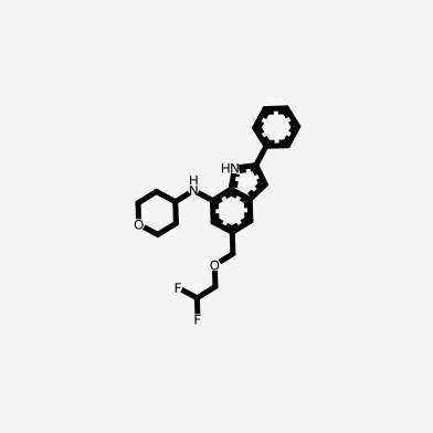 FC(F)COCc1cc(NC2CCOCC2)c2[nH]c(-c3ccccc3)cc2c1